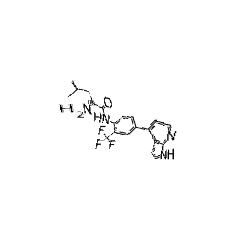 CC(C)C[C@@H](N)C(=O)Nc1ccc(-c2ccnc3[nH]ccc23)cc1C(F)(F)F